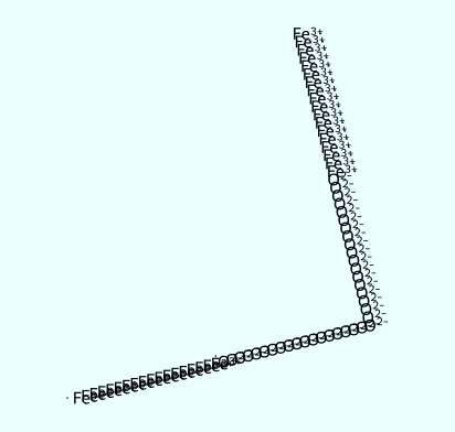 [Fe+3].[Fe+3].[Fe+3].[Fe+3].[Fe+3].[Fe+3].[Fe+3].[Fe+3].[Fe+3].[Fe+3].[Fe+3].[Fe+3].[Fe+3].[Fe+3].[Fe+3].[Fe+3].[Fe+3].[Fe+3].[Fe+3].[Fe+3].[Fe+3].[Fe+3].[Fe+3].[Fe+3].[Fe+3].[Fe+3].[Fe+3].[Fe+3].[Fe+3].[Fe+3].[Fe+3].[Fe+3].[Fe+3].[Fe+3].[Fe+3].[Fe+3].[O-2].[O-2].[O-2].[O-2].[O-2].[O-2].[O-2].[O-2].[O-2].[O-2].[O-2].[O-2].[O-2].[O-2].[O-2].[O-2].[O-2].[O-2].[O-2].[O-2].[O-2].[O-2].[O-2].[O-2].[O-2].[O-2].[O-2].[O-2].[O-2].[O-2].[O-2].[O-2].[O-2].[O-2].[O-2].[O-2].[O-2]